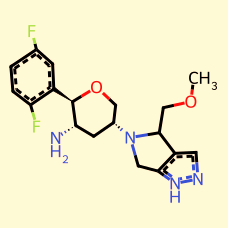 COCC1c2cn[nH]c2CN1[C@H]1CO[C@H](c2cc(F)ccc2F)[C@@H](N)C1